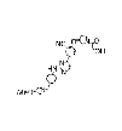 COC1CN(Cc2ccc(Nc3nccc(-c4ccc(O[C@@H]5CCN(C(=O)CO)C5)c(C#N)c4)n3)cc2)C1